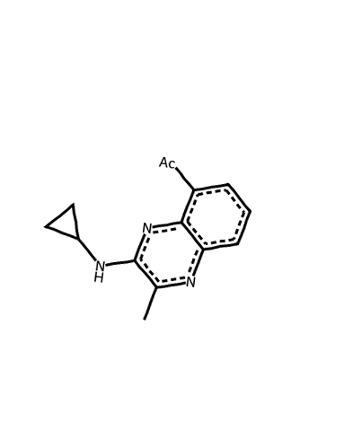 CC(=O)c1cccc2nc(C)c(NC3CC3)nc12